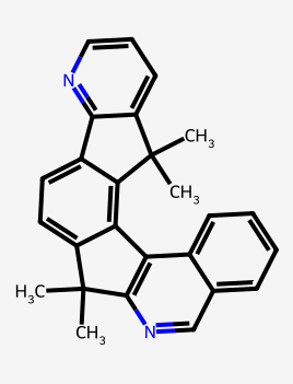 CC1(C)c2ccc3c(c2-c2c1ncc1ccccc21)C(C)(C)c1cccnc1-3